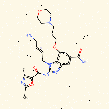 CCc1nc(C)oc1C(=O)Nc1nc2cc(C(N)=O)cc(OCCCN3CCOCC3)c2n1C/C=C/CN